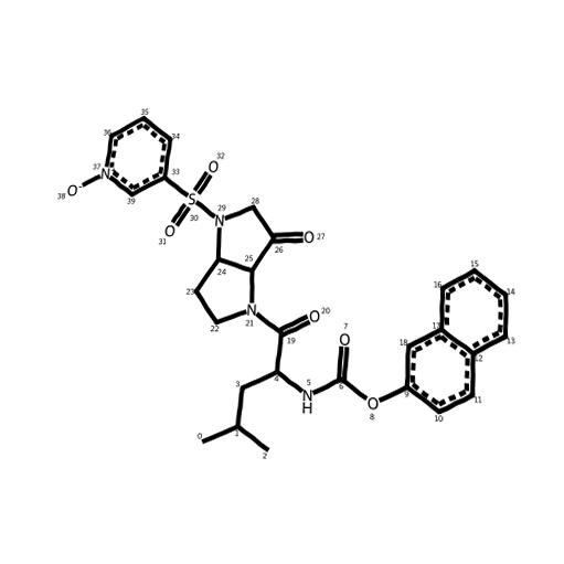 CC(C)CC(NC(=O)Oc1ccc2ccccc2c1)C(=O)N1CCC2C1C(=O)CN2S(=O)(=O)c1ccc[n+]([O-])c1